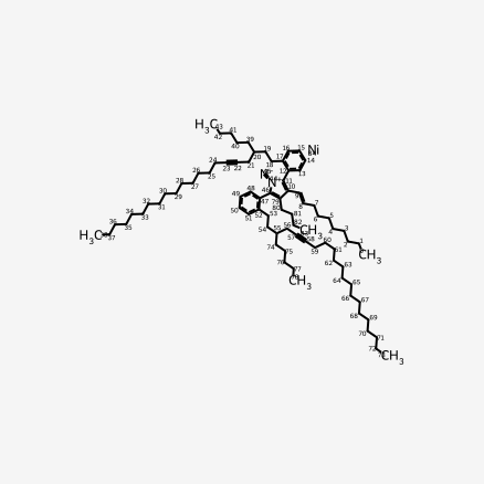 CCCCCCCCC=CC1=C(c2ccccc2CCC(CC#CCCCCCCCCCCCCCCC)CCCCC)[N+](=[N-])C(c2ccccc2CCC(CC#CCCCCCCCCCCCCCCC)CCCCC)=C1CCCC.[Ni]